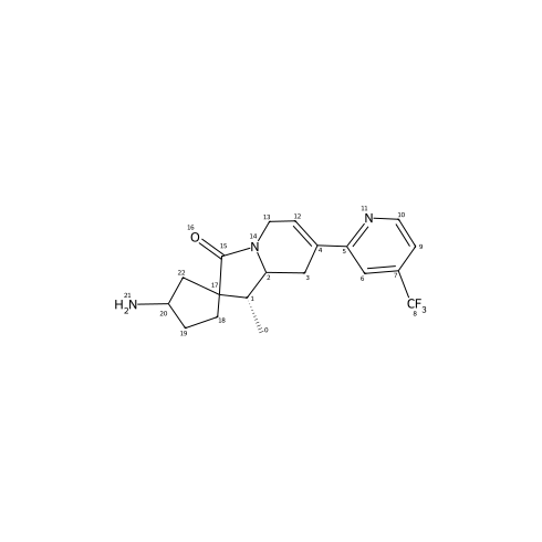 C[C@H]1C2CC(c3cc(C(F)(F)F)ccn3)=CCN2C(=O)C12CCC(N)C2